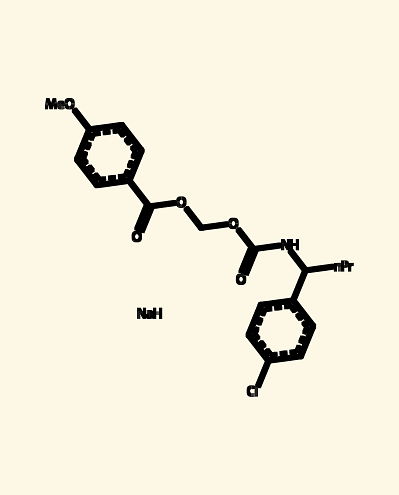 CCCC(NC(=O)OCOC(=O)c1ccc(OC)cc1)c1ccc(Cl)cc1.[NaH]